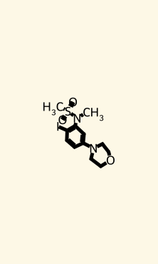 CN(c1cc(N2CCOCC2)ccc1I)S(C)(=O)=O